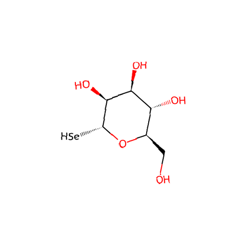 OC[C@H]1O[C@H]([SeH])[C@@H](O)[C@@H](O)[C@@H]1O